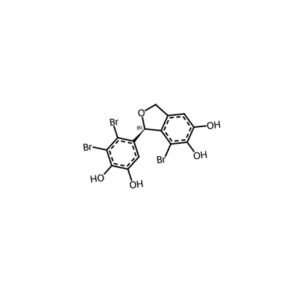 Oc1cc([C@H]2OCc3cc(O)c(O)c(Br)c32)c(Br)c(Br)c1O